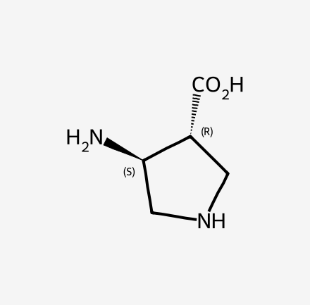 N[C@@H]1CNC[C@H]1C(=O)O